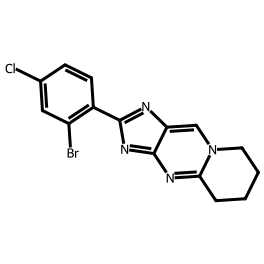 Clc1ccc(-c2nc3cn4c(nc-3n2)CCCC4)c(Br)c1